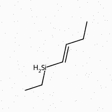 CCC=C[SiH2]CC